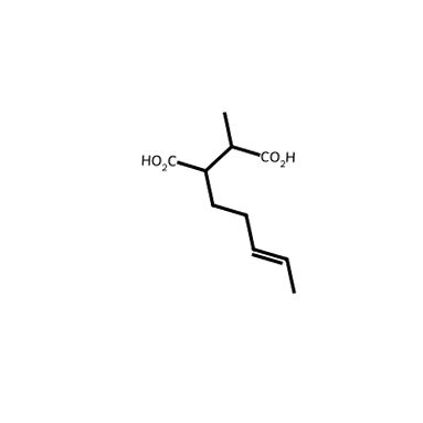 CC=CCCC(C(=O)O)C(C)C(=O)O